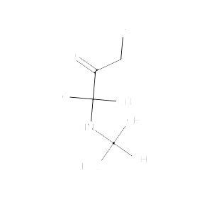 CC(C)(C)NC(C)(C)C(=O)CBr